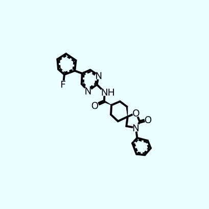 O=C1O[C@]2(CC[C@H](C(=O)Nc3ncc(-c4ccccc4F)cn3)CC2)CN1c1ccccc1